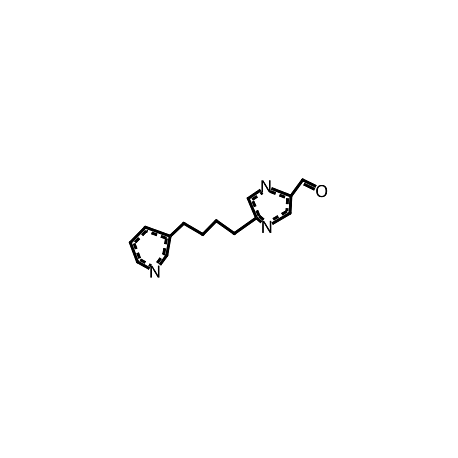 O=Cc1cnc(CCCCc2cccnc2)cn1